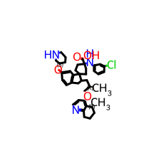 C[C@@H](COc1ccnc2c1[C@H](C)CCC2)CC1Cc2ccc(O[C@H]3CCCNC3)cc2C12CCC(Nc1cccc(Cl)c1)(C(=O)O)CC2